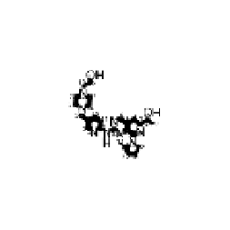 CC(O)c1cc2cnc(Nc3ccc(CN4CCN(CCO)CC4)cn3)nc2c(N2CCC[C@H]2C)n1